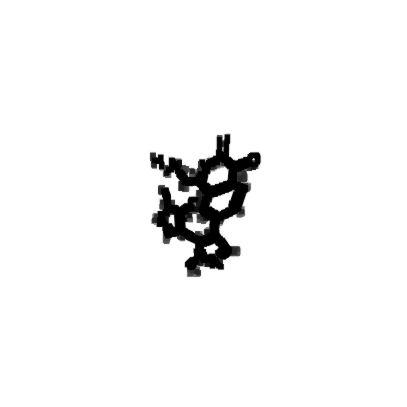 Cn1ncc(-c2c(-c3ccc4c(=O)[nH]nc(CN)c4c3)cnn2C)c1Cl